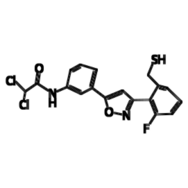 O=C(Nc1cccc(-c2cc(-c3c(F)cccc3CS)no2)c1)C(Cl)Cl